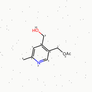 CC(=O)OCc1cnc(C)cc1CO